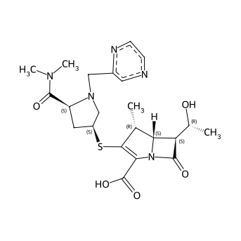 C[C@@H](O)[C@H]1C(=O)N2C(C(=O)O)=C(S[C@H]3C[C@@H](C(=O)N(C)C)N(Cc4cnccn4)C3)[C@H](C)[C@H]12